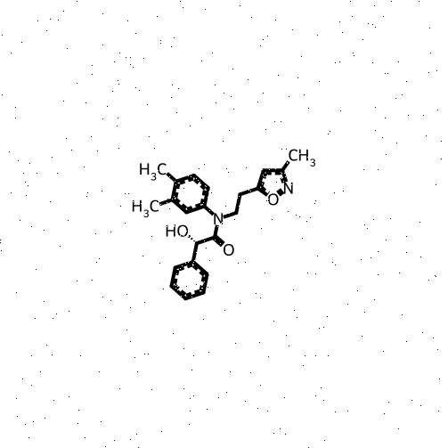 Cc1cc(CCN(C(=O)[C@@H](O)c2ccccc2)c2ccc(C)c(C)c2)on1